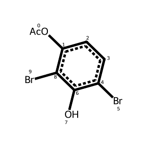 CC(=O)Oc1ccc(Br)c(O)c1Br